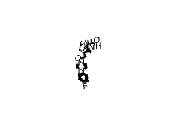 CC1(CCC(=O)N2CCN(c3ccc(F)cc3)CC2)NC(=O)NC1=O